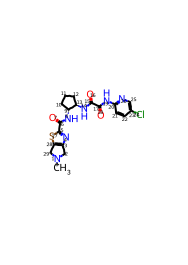 CN1Cc2nc(C(=O)N[C@@H]3CCC[C@H]3NC(=O)C(=O)Nc3ccc(Cl)cn3)sc2C1